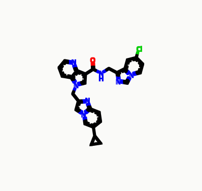 O=C(NCc1ncn2ccc(Cl)cc12)c1cn(Cc2cn3cc(C4CC4)ccc3n2)c2cccnc12